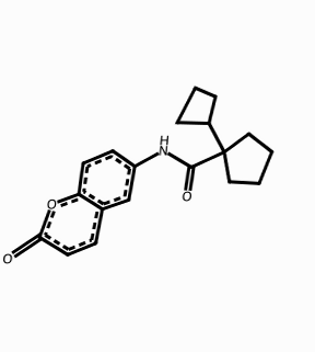 O=C(Nc1ccc2oc(=O)ccc2c1)C1(C2CCC2)CCCC1